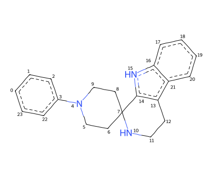 c1ccc(N2CCC3(CC2)NCCc2c3[nH]c3ccccc23)cc1